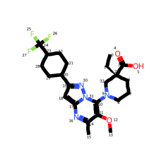 CC[C@@]1(C(=O)O)CCCN(c2c(OC)c(C)nc3cc(C4CCC(C(F)(F)F)CC4)nn23)C1